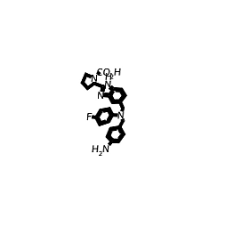 Nc1ccc(CN(Cc2ccc3[nH]c(C4CCCN4C(=O)O)nc3c2)c2ccc(F)cc2)cc1